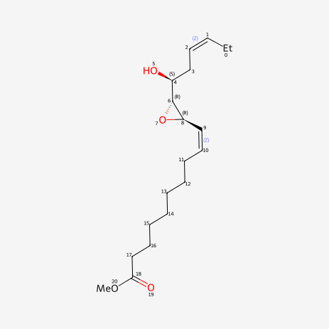 CC/C=C\C[C@H](O)[C@H]1O[C@@H]1/C=C\CCCCCCCC(=O)OC